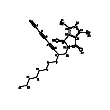 C#CC#CC#CC(CCCCCCCC)CN1C(=O)c2c(Br)sc(Br)c2C1=O